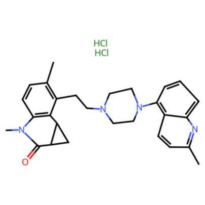 Cc1ccc2c(N3CCN(CCc4c(C)ccc5c4C4CC4C(=O)N5C)CC3)cccc2n1.Cl.Cl